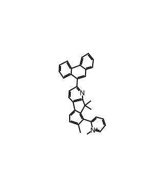 Cc1ccc2c(c1-c1cccc[n+]1C)C(C)(C)c1nc(-c3cc4ccccc4c4ccccc34)ccc1-2